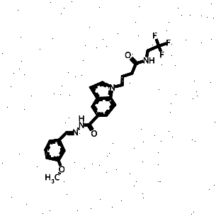 COc1cccc(/C=N/NC(=O)c2ccc3c(ccn3CCCC(=O)NCC(F)(F)F)c2)c1